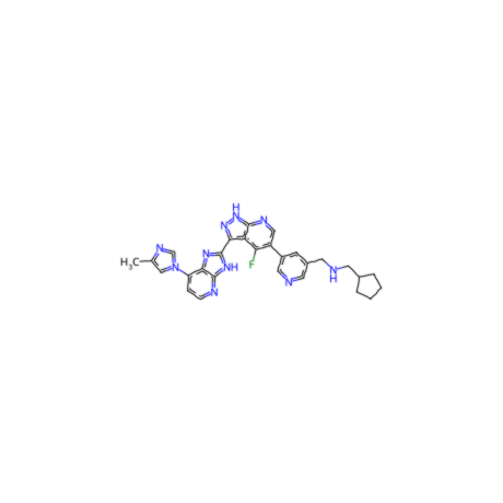 Cc1cn(-c2ccnc3[nH]c(-c4n[nH]c5ncc(-c6cncc(CNCC7CCCC7)c6)c(F)c45)nc23)cn1